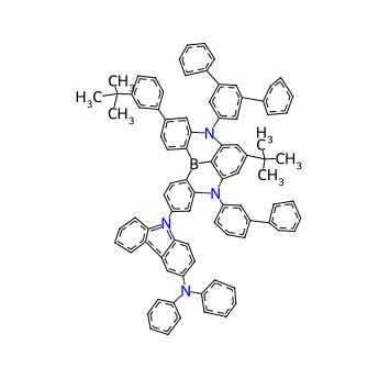 CC(C)(C)c1cccc(-c2ccc3c(c2)N(c2cc(-c4ccccc4)cc(-c4ccccc4)c2)c2cc(C(C)(C)C)cc4c2B3c2ccc(-n3c5ccccc5c5cc(N(c6ccccc6)c6ccccc6)ccc53)cc2N4c2cccc(-c3ccccc3)c2)c1